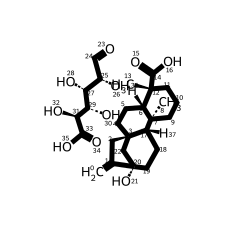 C=C1C[C@@]23CC[C@H]4[C@@](C)(CCC[C@@]4(C)C(=O)O)[C@@H]2CC[C@]1(O)C3.O=C[C@H](O)[C@@H](O)[C@H](O)[C@H](O)C(=O)O